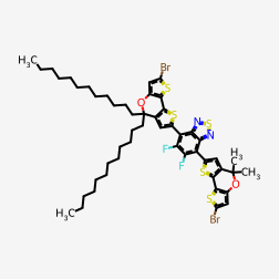 CCCCCCCCCCCCC1(CCCCCCCCCCCC)Oc2cc(Br)sc2-c2sc(-c3c(F)c(F)c(-c4cc5c(s4)-c4sc(Br)cc4OC5(C)C)c4nsnc34)cc21